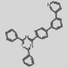 c1ccc(-c2nc(-c3ccccc3)nc(-c3ccc(-c4cccc(-c5cccnc5)c4)cc3)n2)cc1